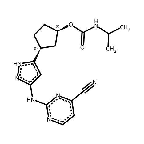 CC(C)NC(=O)O[C@@H]1CC[C@H](c2cc(Nc3nccc(C#N)n3)n[nH]2)C1